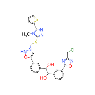 Cn1c(SCN2C=C(c3cccc(C(O)C(O)c4cccc(-c5nc(CCl)no5)c4)c3)ON2)nnc1-c1cccs1